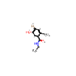 O=C(NCC(F)(F)F)c1cc(O)c(Br)cc1[N+](=O)[O-]